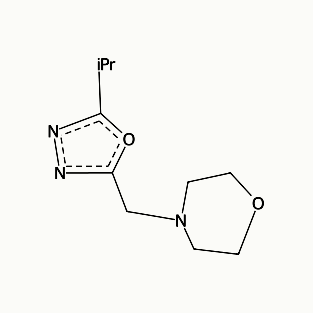 CC(C)c1nnc(CN2CCOCC2)o1